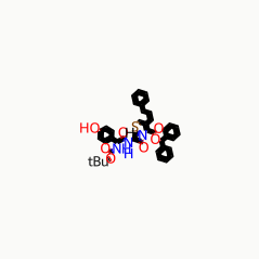 CC(C)(C)OC(=O)NC(C(=O)N[C@@H]1C(=O)N2C(C(=O)OC(c3ccccc3)c3ccccc3)=C(/C=C\Cc3ccccc3)CS[C@H]12)c1ccc(O)cc1